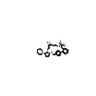 Cl.NC(=O)Cc1ccccc1-c1ccc(CO[C@@H]2CC[C@H](N3CCCCCC3)[C@H]2OC/C=C\CCC(=O)O)cc1